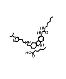 CCCCCC(=O)O.CCCCCNC(=O)Nc1ccc2[nH]c3c(c2c1)CC(CNCCc1cnn(C(C)C)c1)CC3